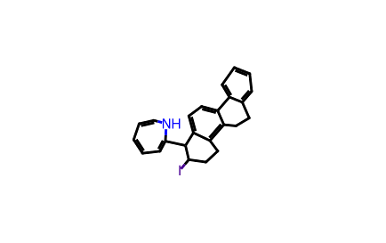 IC1CCc2c(ccc3c2CCc2ccccc2-3)C1C1=CC=CC=CN1